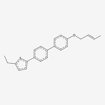 C/C=C/COc1ccc(-c2ccc(-c3ccc(CC)s3)cc2)cc1